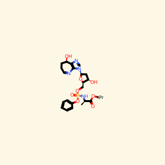 CC(C)OC(=O)[C@@H](C)NP(=O)(OC[C@H]1O[C@@H](n2cnc3c2N=CCC[C@H]3O)C[C@@H]1O)Oc1ccccc1